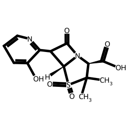 CC1(C)[C@H](C(=O)O)N2C(=O)C(c3ncccc3O)[C@H]2S1(=O)=O